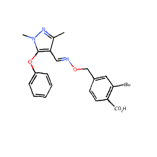 Cc1nn(C)c(Oc2ccccc2)c1C=NOCc1ccc(C(=O)O)c(C(C)(C)C)c1